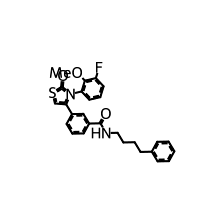 COc1c(F)cccc1-n1c(-c2cccc(C(=O)NCCCCc3ccccc3)c2)csc1=O